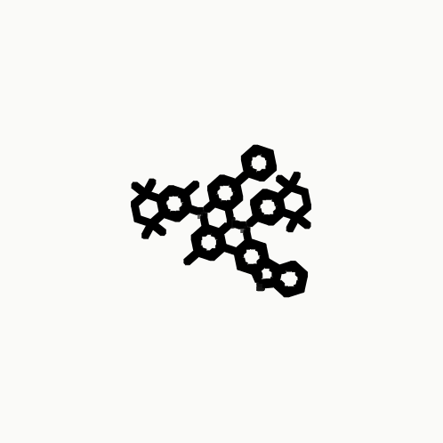 Cc1cc2c3c(c1)N(c1cc4c(cc1C)C(C)(C)CCC4(C)C)c1ccc(-c4ccccc4)cc1B3N(c1ccc3c(c1)C(C)(C)CCC3(C)C)c1cc3c(cc1-2)sc1ccccc13